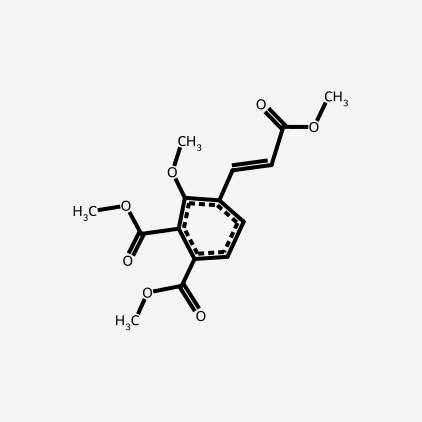 COC(=O)C=Cc1ccc(C(=O)OC)c(C(=O)OC)c1OC